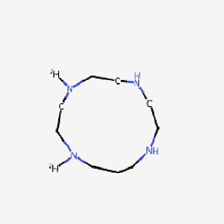 [2H]N1CCCNCCNCCN([2H])CC1